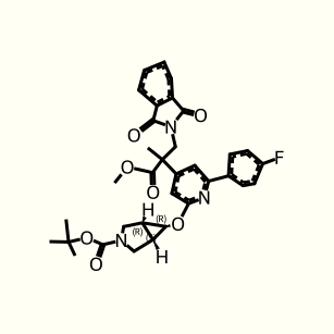 COC(=O)C(C)(CN1C(=O)c2ccccc2C1=O)c1cc(O[C@@H]2[C@@H]3CN(C(=O)OC(C)(C)C)C[C@@H]32)nc(-c2ccc(F)cc2)c1